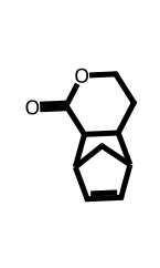 O=C1OCCC2C3C=CC(C3)C12